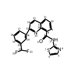 O=C(Nc1nccs1)c1cccc2ccc(-c3cccc(C(F)F)c3)nc12